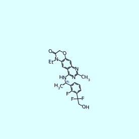 CCN1C(=O)COc2cc3nc(C)nc(N[C@H](C)c4cccc(C(F)(F)CO)c4F)c3cc21